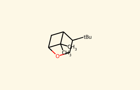 CC(C)(C)C1COC2CC1C2(C)C